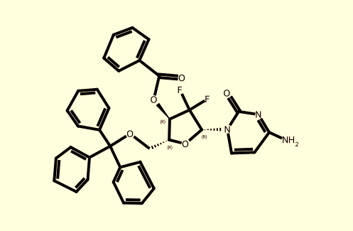 Nc1ccn([C@@H]2O[C@H](COC(c3ccccc3)(c3ccccc3)c3ccccc3)[C@@H](OC(=O)c3ccccc3)C2(F)F)c(=O)n1